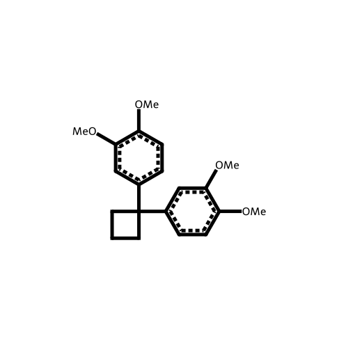 COc1ccc(C2(c3ccc(OC)c(OC)c3)CCC2)cc1OC